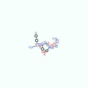 C[C@@H]1NC(=O)[C@@H](N(C)C(=O)[C@H](CCCCN)NC(=O)c2ccc(-c3ccc(Cl)cc3)cc2)c2ccc(O)c(c2)-c2cc(ccc2O)C[C@@H](C(=O)N[C@@H](C)C(=O)N2CCC[C@H]2C(=O)NCC(N)=O)NC1=O